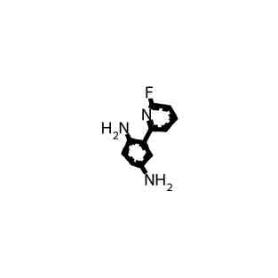 Nc1ccc(N)c(-c2cccc(F)n2)c1